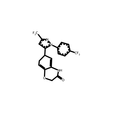 O=C1COC2=CCC(c3cc(C(F)(F)F)nn3-c3ccc(C(F)(F)F)cc3)C=C2N1